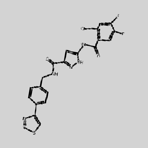 O=C(NCc1ccc(-c2csnn2)cc1)c1cc(NC(=O)c2cc(F)c(F)cc2Cl)[nH]n1